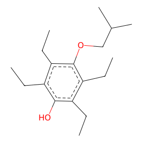 CCc1c(O)c(CC)c(CC)c(OCC(C)C)c1CC